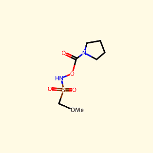 COCS(=O)(=O)NOC(=O)N1CCCC1